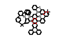 CC(C)(C)c1cc2c3c(c1)N(c1c(-c4ccccc4)cccc1-c1ccccc1)c1cc4c(cc1B3c1ccccc1S2)B1c2ccccc2N2c3cc(cc(c31)N4c1ccc3c4ccccc4c4ccccc4c3c1)C(C)(C)c1ccc(cc1)-c1cccc(-c3ccccc3)c12